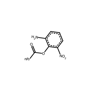 CCCC(=O)Oc1c(N)cccc1[N+](=O)[O-]